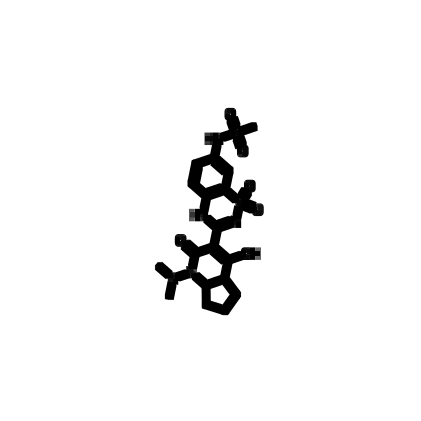 CN(C)N1C(=O)C(C2=NS(=O)(=O)c3cc(NS(C)(=O)=O)ccc3N2)=C(O)C2CCCC21